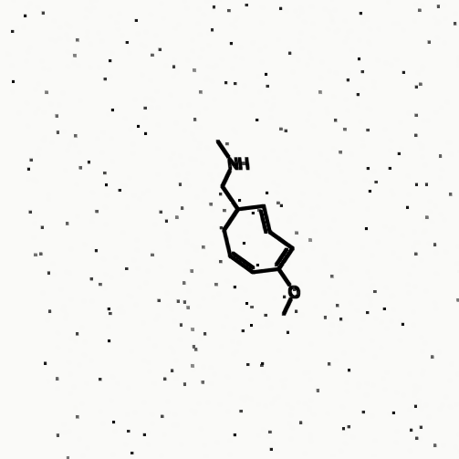 CNCC1/C=C/C=C(/OC)C=CC1